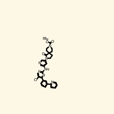 CC(C)(C)OC(=O)N1CCC2(CC1)CCN(c1cncc(Nc3ncc(Cl)c(-c4cccc(-c5ccccn5)c4)n3)c1)C2=O